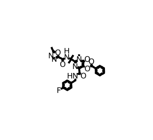 Cc1nnc(C(=O)NC(C)(C)c2nc(C(=O)NCc3ccc(F)cc3)c(OC(=O)c3ccccc3)c(=O)n2C)o1